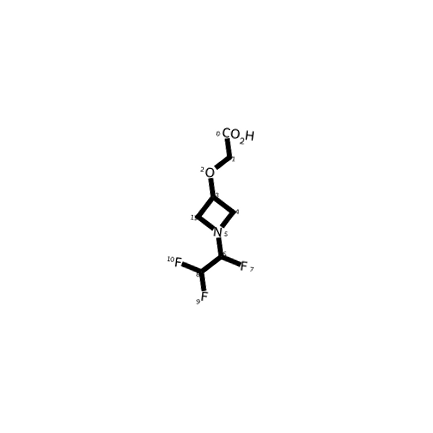 O=C(O)COC1CN(C(F)C(F)F)C1